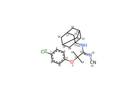 CC(C)(Oc1ccc(Cl)cc1)/C(=N\C#N)NC12CC3CC(CC(C3)C1)C2